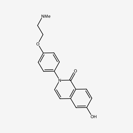 CNCCOc1ccc(-n2ccc3cc(O)ccc3c2=O)cc1